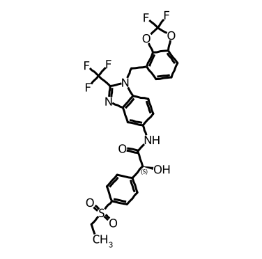 CCS(=O)(=O)c1ccc([C@H](O)C(=O)Nc2ccc3c(c2)nc(C(F)(F)F)n3Cc2cccc3c2OC(F)(F)O3)cc1